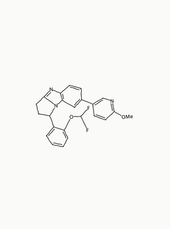 COc1ccc(-c2ccc3nc4n(c3c2)C(c2ccccc2OC(F)F)CC4)cn1